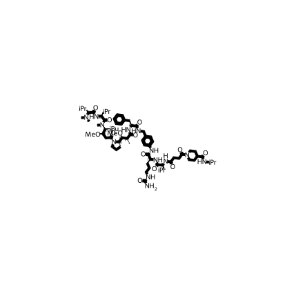 CC[C@H](C)[C@@H]([C@@H](CC(=O)N1CCC[C@H]1[C@H](OC)[C@@H](C)C(=O)N[C@@H](Cc1ccccc1)C(=O)NCc1ccc(NC(=O)[C@H](CCCNC(N)=O)NC(=O)[C@@H](NC(=O)CCC(=O)N2CCC(C(=O)NC(C)C)CC2)C(C)C)cc1)OC)N(C)C(=O)[C@@H](NC(=O)[C@H](C(C)C)N(C)C)C(C)C